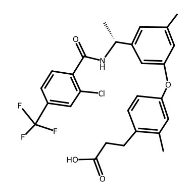 Cc1cc(Oc2ccc(CCC(=O)O)c(C)c2)cc([C@@H](C)NC(=O)c2ccc(C(F)(F)F)cc2Cl)c1